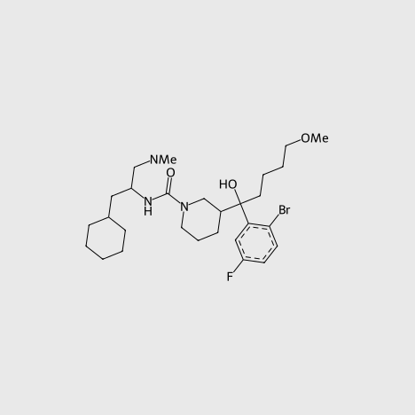 CNCC(CC1CCCCC1)NC(=O)N1CCCC(C(O)(CCCCOC)c2cc(F)ccc2Br)C1